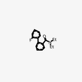 CCN(CC)C(=O)c1ccccc1-c1ccccc1F